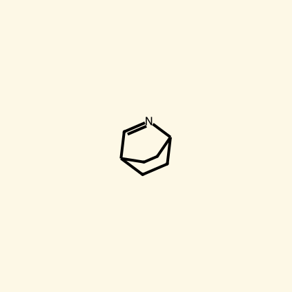 C1=NC2CCC1CC2